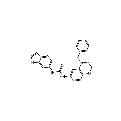 O=C(Nc1ccc2c(c1)N(Cc1ccccc1)CCO2)Nc1cnc2cc[nH]c2c1